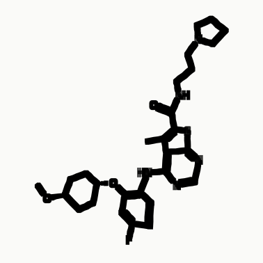 CO[C@H]1CC[C@H](Oc2cc(F)ccc2Nc2ncnc3sc(C(=O)NCCCN4CCCC4)c(C)c23)CC1